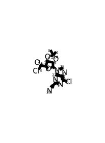 CC1(C)OC2C(C(=O)Cl)OC(n3cnc4c(Cl)nc(C#N)nc43)C2O1